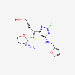 N[C@H]1CCCO[C@@H]1c1sc2c(NCc3ccco3)nc(Cl)nc2c1C#CCO